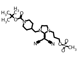 CC(C)(C)OC(=O)N1CCC(CN2CCN(CCCOS(C)(=O)=O)C2=C(C#N)C#N)CC1